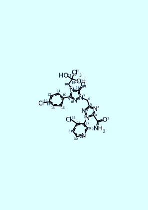 NC(=O)c1nc(Cn2nc(-c3ccc(Cl)cc3)n(CC(O)(O)C(F)(F)F)c2=O)nn1-c1cnccc1Cl